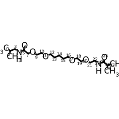 CC(C)CNC(=O)COCCOCCCCCOCCOCCNC(=O)C(C)C